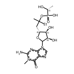 CCC(C)(C[C@H]1OC(n2cnc3c(=O)n(C)c(N)nc32)[C@H](O)[C@@H]1O)OP(=O)(O)[C@@H](C)O